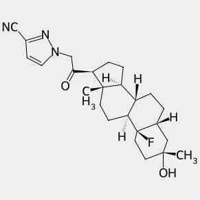 C[C@@]1(O)CC[C@@]2(F)[C@H](CC[C@H]3[C@@H]4CC[C@H](C(=O)Cn5ccc(C#N)n5)[C@@]4(C)CC[C@@H]32)C1